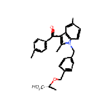 Cc1ccc(C(=O)c2c(C)n(Cc3ccc(CO[C@H](C)C(=O)O)cc3)c3ccc(C)cc23)cc1